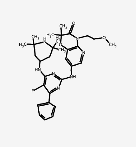 COCCN1C(=O)C(C)(C)Oc2cc(Nc3nc(NC4CC(C)(C)NC(C)(C)C4)c(F)c(-c4ccccc4)n3)cnc21